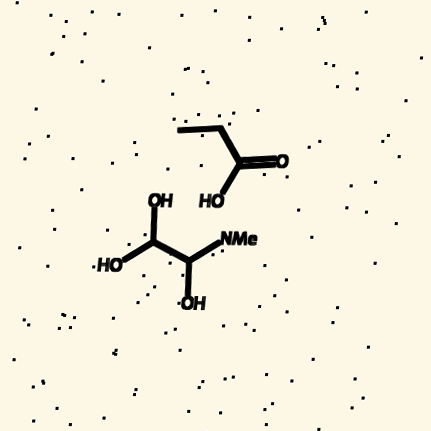 CCC(=O)O.CNC(O)C(O)O